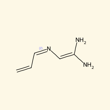 C=C/C=N\C=C(N)N